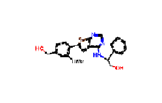 COc1cc(CO)ccc1-c1cc2c(NC(CO)c3ccccc3)ncnc2s1